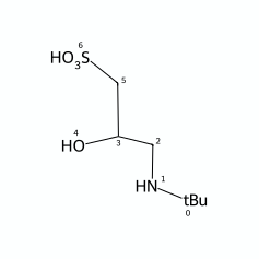 CC(C)(C)NCC(O)CS(=O)(=O)O